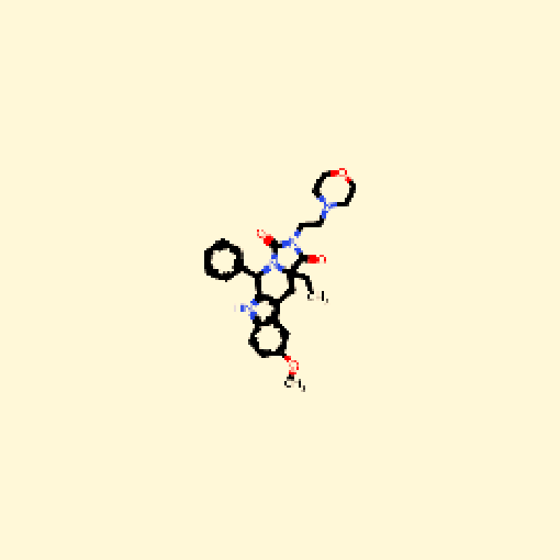 CCC12Cc3c([nH]c4ccc(OC)cc34)C(c3ccccc3)N1C(=O)N(CCN1CCOCC1)C2=O